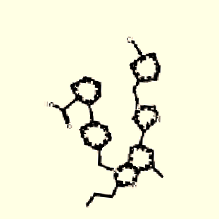 CCCc1nc2c(C)cc(-c3cn(Cc4cccc(Cl)c4)cn3)cc2n1Cc1ccc(-c2ccccc2C(=O)O)cc1